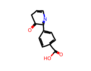 O=C1CC=CN=C1c1ccc(C(=O)O)cc1